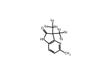 [2H]C([2H])([2H])C1(C([2H])([2H])[2H])C(=O)Nc2ccc(C)nc21